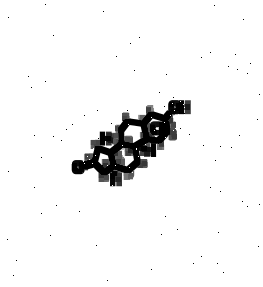 C[C@@]12CCC(O)CC1CC[C@@H]1C3CC(=O)C[C@@H]3CC[C@H]12